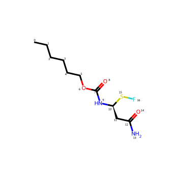 CCCCCCOC(=O)N[C@H](CC(N)=O)SF